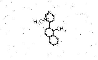 Cc1c(-c2ccnc[n+]2C)ccc2ccccc12